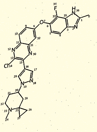 Cc1nc2ccc(Oc3ccc4nc(Cl)c(-c5cnn(C6CCN(C)C7(CC7)C6)c5)nc4c3)c(F)c2[nH]1